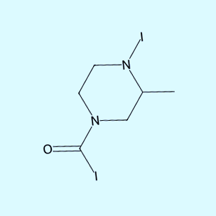 CC1CN(C(=O)I)CCN1I